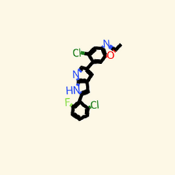 Cc1nc2cc(Cl)c(-c3cnc4[nH]c(-c5c(F)cccc5Cl)cc4c3)cc2o1